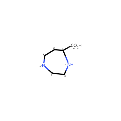 O=C(O)C1CC[N]CCN1